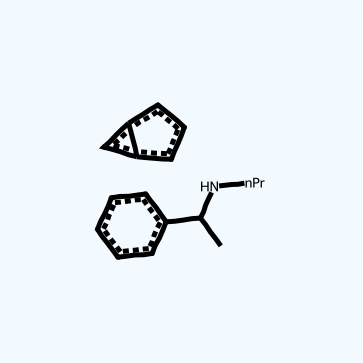 CCCNC(C)c1ccccc1.c1cc2cc-2c1